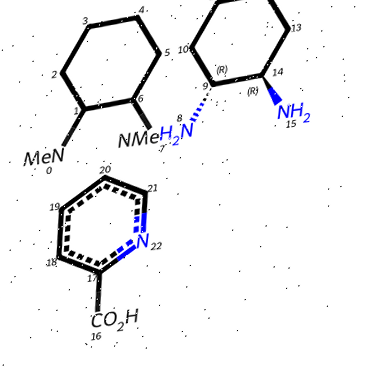 CNC1CCCCC1NC.N[C@@H]1CCCC[C@H]1N.O=C(O)c1ccccn1